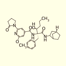 CCC[C@H](O)[C@](Cc1ccccc1)(NC(=O)c1cc(OC)nc(N2CCCC2=O)c1)C(=O)NC1C[C@@H]2CCC1C2